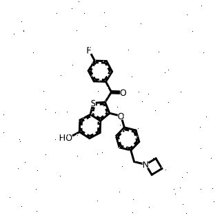 O=C(c1ccc(F)cc1)c1sc2cc(O)ccc2c1Oc1ccc(CN2CCC2)cc1